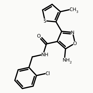 Cc1ccsc1-c1noc(N)c1C(=O)NCc1ccccc1Cl